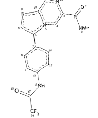 CNC(=O)c1cn2c(-c3ccc(NC(=O)C(F)(F)F)cc3)cnc2cn1